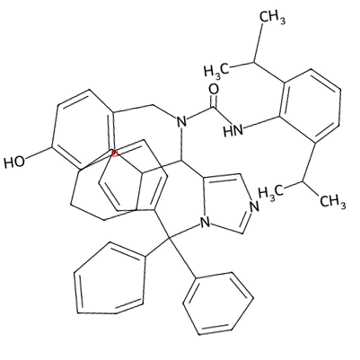 CC(C)c1cccc(C(C)C)c1NC(=O)N(Cc1ccc(O)cc1)C(c1cncn1C(c1ccccc1)(c1ccccc1)c1ccccc1)C1CCCCC1